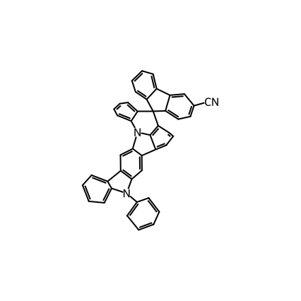 N#Cc1ccc2c(c1)-c1ccccc1C21c2ccccc2-n2c3cc4c5ccccc5n(-c5ccccc5)c4cc3c3cccc1c32